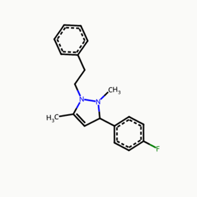 CC1=CC(c2ccc(F)cc2)N(C)N1CCc1ccccc1